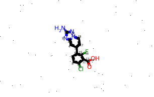 Nc1nc2cc(-c3ccc(Cl)c(C(=O)O)c3F)ccn2n1